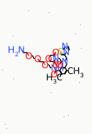 Cc1cc(C)c(C(=O)NCCOCCOCCOCCN)cc1CN(Cc1csc2nccn12)C(=O)CN1C(=O)COCC1=O